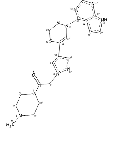 CN1CCN(C(=O)Cn2cc(C3=CN(c4ncnc5[nH]ccc45)CCS3)cn2)CC1